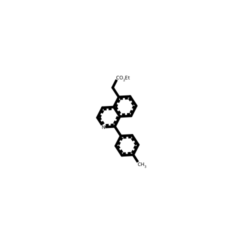 CCOC(=O)Cc1cccc2c(-c3ccc(C)cc3)nccc12